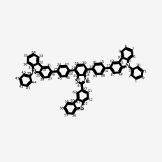 c1ccc(-n2c3ccccc3c3cc(-c4ccc(-c5ccc(-c6ccc(-c7ccc8c(c7)c7ccccc7n8-c7ccccc7)cc6)c6sc(-c7ccc8sc9ccccc9c8c7)nc56)cc4)ccc32)cc1